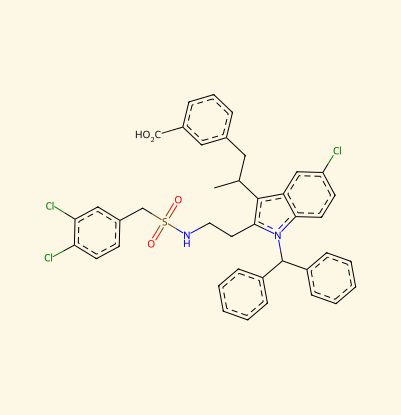 CC(Cc1cccc(C(=O)O)c1)c1c(CCNS(=O)(=O)Cc2ccc(Cl)c(Cl)c2)n(C(c2ccccc2)c2ccccc2)c2ccc(Cl)cc12